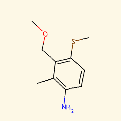 COCc1c(SC)ccc(N)c1C